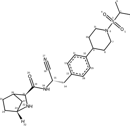 CC(C)S(=O)(=O)N1CCC(c2ccc(C[C@@H](C#N)NC(=O)[C@H]3N[C@@H]4CCC3C4)cc2)CC1